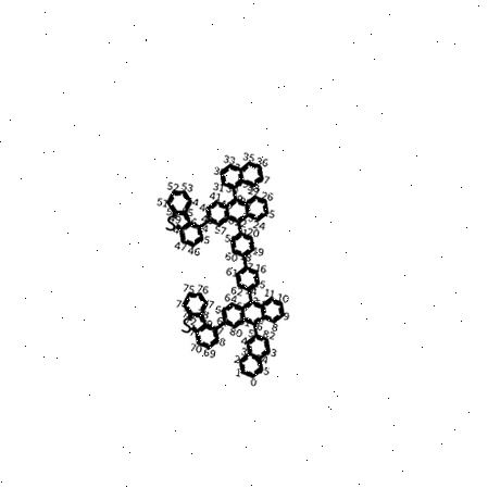 c1ccc2cc(-c3c4ccccc4c(-c4ccc(-c5ccc(-c6c7ccccc7c(-c7cccc8ccccc78)c7ccc(-c8cccc9sc%10ccccc%10c89)cc67)cc5)cc4)c4ccc(-c5cccc6sc7ccccc7c56)cc34)ccc2c1